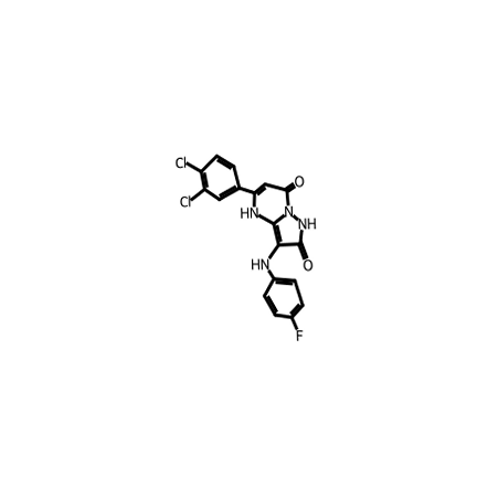 O=c1[nH]n2c(=O)cc(-c3ccc(Cl)c(Cl)c3)[nH]c2c1Nc1ccc(F)cc1